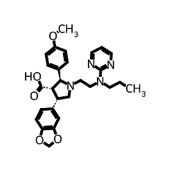 CCCN(CCN1C[C@H](c2ccc3c(c2)OCO3)[C@H](C(=O)O)[C@H]1c1ccc(OC)cc1)c1ncccn1